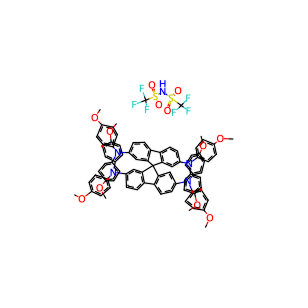 COc1ccc(N(c2ccc(OC)cc2)c2ccc3c(c2)C2(c4cc(N(c5ccc(OC)cc5)c5ccc(OC)cc5)ccc4-3)c3cc(N(c4ccc(OC)cc4)c4ccc(OC)cc4)ccc3-c3ccc(N(c4ccc(OC)cc4)c4ccc(OC)cc4)cc32)cc1.O=S(=O)(NS(=O)(=O)C(F)(F)F)C(F)(F)F